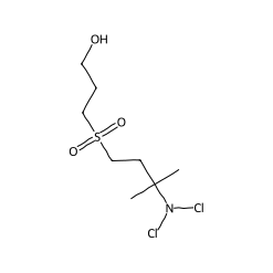 CC(C)(CCS(=O)(=O)CCCO)N(Cl)Cl